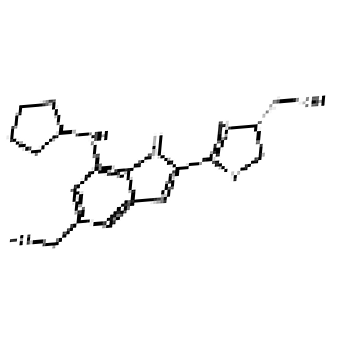 OCc1cc(NC2CCCC2)c2[nH]c(C3=N[C@H](CO)CS3)cc2c1